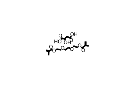 C=C(C)C(=O)OCCOCCOCCOC(=O)C(=C)C.O=C(O)CC(O)C(=O)O